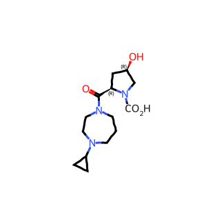 O=C([C@H]1C[C@@H](O)CN1C(=O)O)N1CCCN(C2CC2)CC1